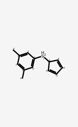 Cc1cc(C)cc([SiH2][C]2C=CC=C2)c1